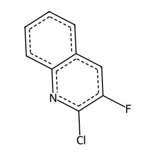 Fc1cc2ccccc2nc1Cl